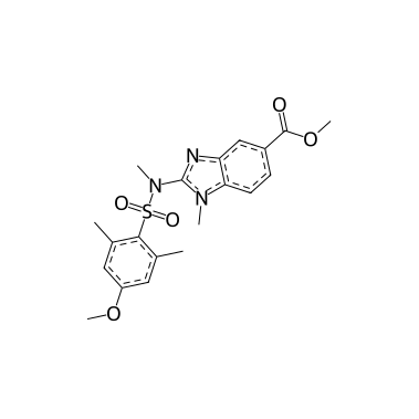 COC(=O)c1ccc2c(c1)nc(N(C)S(=O)(=O)c1c(C)cc(OC)cc1C)n2C